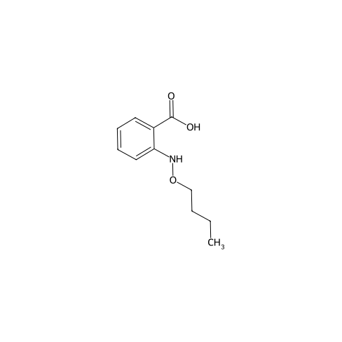 CCCCONc1ccccc1C(=O)O